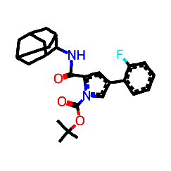 CC(C)(C)OC(=O)n1cc(-c2ccccc2F)cc1C(=O)NC1C2CC3CC(C2)CC1C3